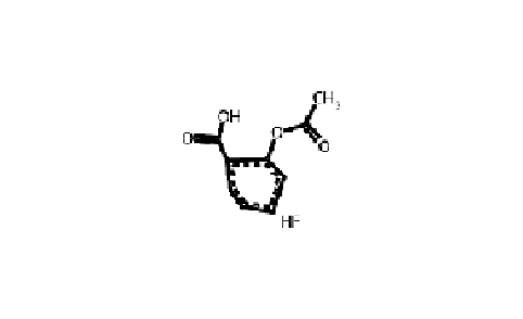 CC(=O)Oc1ccccc1C(=O)O.F